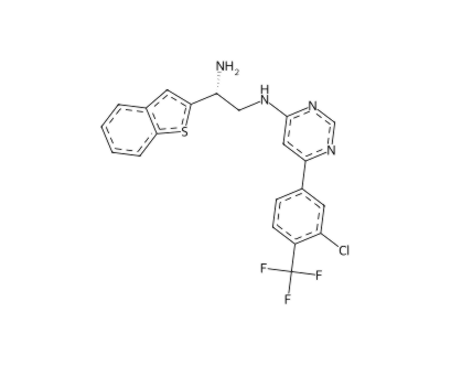 N[C@H](CNc1cc(-c2ccc(C(F)(F)F)c(Cl)c2)ncn1)c1cc2ccccc2s1